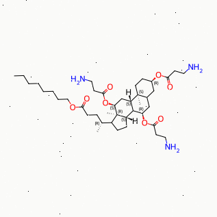 CCCCCCCCOC(=O)CC[C@@H](C)C1CC[C@H]2C3[C@H](OC(=O)CCN)CC4C[C@H](OC(=O)CCN)CC[C@]4(C)[C@H]3C[C@H](OC(=O)CCN)[C@]12C